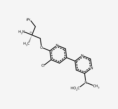 CC(C)C[C@](C)(N)COc1ncc(-c2cc(N(C)C(=O)O)ncn2)cc1Cl